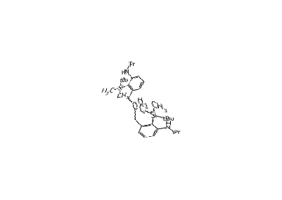 CC(C)Nc1cccc(COCc2cccc(NC(C)C)c2[Si](C)(C)C(C)(C)C)c1[Si](C)(C)C(C)(C)C